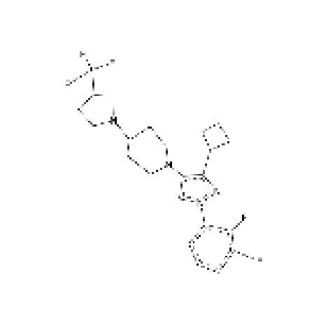 Fc1cccc(-n2cc(N3CCC(N4CCC(C(F)(F)F)C4)CC3)c(C3CCC3)n2)c1F